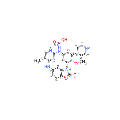 COc1ccc(Nc2ncc(C)c(Nc3ccc4oc(=O)[nH]c4c3)n2)cc1-c1ccncc1.O=CO